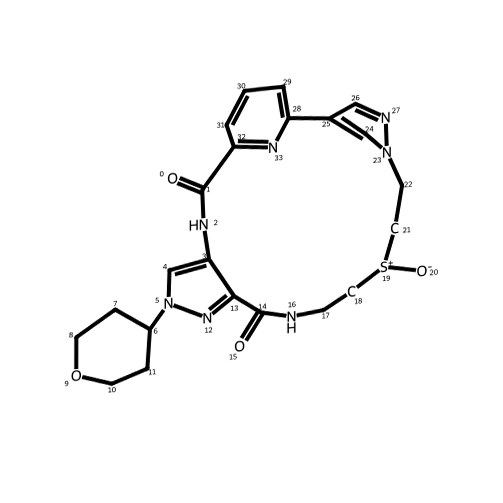 O=C1Nc2cn(C3CCOCC3)nc2C(=O)NCC[S+]([O-])CCn2cc(cn2)-c2cccc1n2